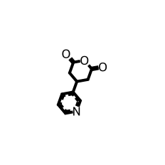 O=C1CC(c2cccnc2)CC(=O)O1